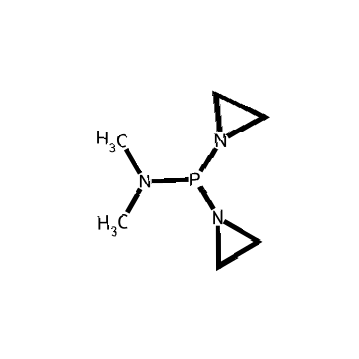 CN(C)P(N1CC1)N1CC1